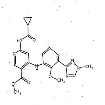 COC(=O)c1cnc(NC(=O)C2CC2)cc1Nc1cccc(-c2ncn(C)n2)c1OC